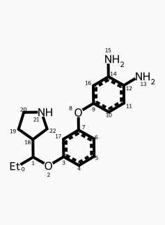 CCC(Oc1cccc(Oc2ccc(N)c(N)c2)c1)C1CCNC1